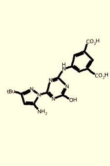 CC(C)(C)c1cc(N)n(-c2nc(O)nc(Nc3cc(C(=O)O)cc(C(=O)O)c3)n2)n1